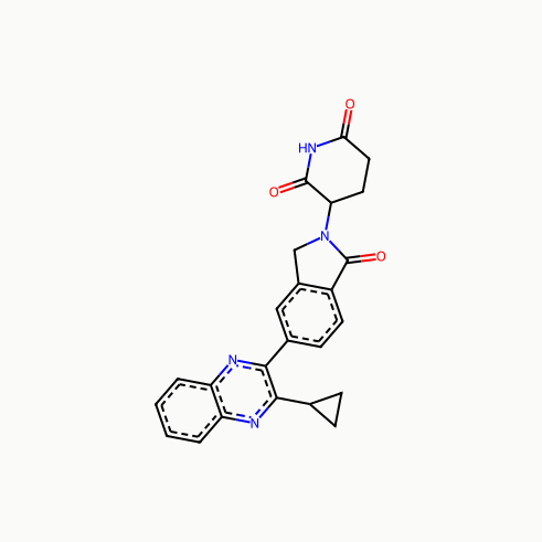 O=C1CCC(N2Cc3cc(-c4nc5ccccc5nc4C4CC4)ccc3C2=O)C(=O)N1